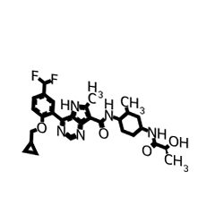 Cc1[nH]c2c(-c3cc(C(F)F)ccc3OCC3CC3)ncnc2c1C(=O)NC1CCC(NC(=O)[C@H](C)O)CC1C